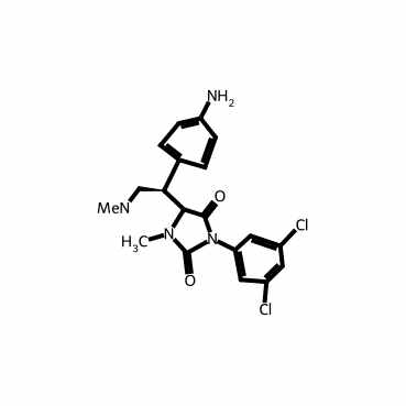 CNC[C@@H](c1ccc(N)cc1)C1C(=O)N(c2cc(Cl)cc(Cl)c2)C(=O)N1C